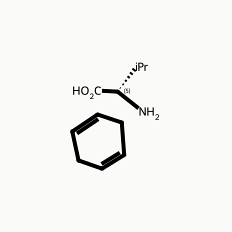 C1=CCC=CC1.CC(C)[C@H](N)C(=O)O